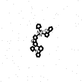 c1ccc(-c2nc(-c3ccc4oc5ccc(-c6cccc7c8ccccc8n(-c8ccccc8)c67)cc5c4c3)nc(-c3cccc4c3oc3ccccc34)n2)cc1